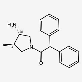 C[C@@H]1CN(C(=O)C(c2ccccc2)c2ccccc2)C[C@H]1N